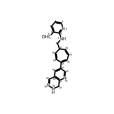 O=Cc1cccnc1NCC1C=CC=C(c2cnc3c(c2)C=NNC3)C=C1